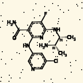 C[C@H](N)[C@@H](C)Nc1nc(Nc2cncc(Cl)c2)c(C(N)=O)cc1F